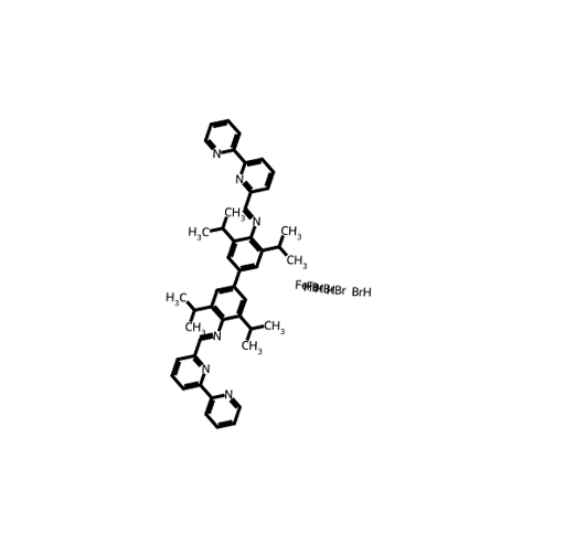 Br.Br.Br.Br.CC(C)c1cc(-c2cc(C(C)C)c(N=Cc3cccc(-c4ccccn4)n3)c(C(C)C)c2)cc(C(C)C)c1N=Cc1cccc(-c2ccccn2)n1.[Fe].[Fe]